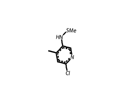 CSNc1cnc(Cl)cc1C